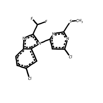 CSc1nc(Cl)cc(-n2c(C(F)F)nc3ccc(Cl)cc32)n1